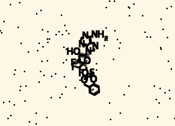 Nc1ncnc2c1ncn2[C@@H]1O[C@@](COP2(=S)OCc3ccccc3O2)(C(F)F)[C@H](F)[C@H]1O